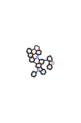 c1ccc(-n2c3ccccc3c3ccc(-c4ccccc4N(c4cccc(-c5cccc6oc7ccccc7c56)c4)c4ccccc4-c4cccc5cccc(C6CCCCC6)c45)cc32)cc1